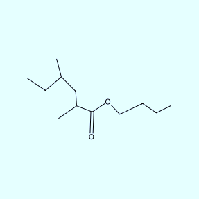 CCCCOC(=O)C(C)CC(C)CC